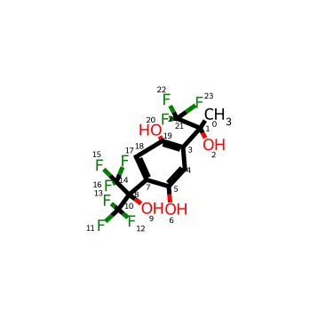 CC(O)(c1cc(O)c(C(O)(C(F)(F)F)C(F)(F)F)cc1O)C(F)(F)F